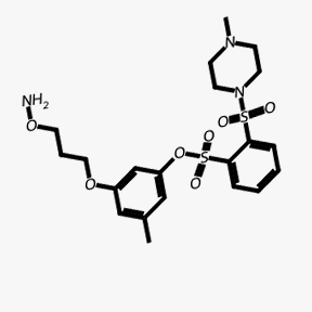 Cc1cc(OCCCON)cc(OS(=O)(=O)c2ccccc2S(=O)(=O)N2CCN(C)CC2)c1